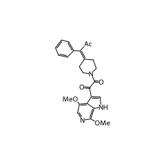 COc1ncc(OC)c2c(C(=O)C(=O)N3CCC(=C(C(C)=O)c4ccccc4)CC3)c[nH]c12